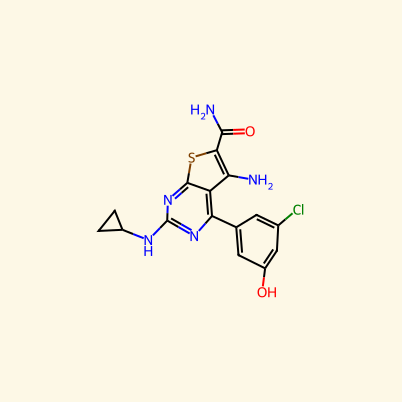 NC(=O)c1sc2nc(NC3CC3)nc(-c3cc(O)cc(Cl)c3)c2c1N